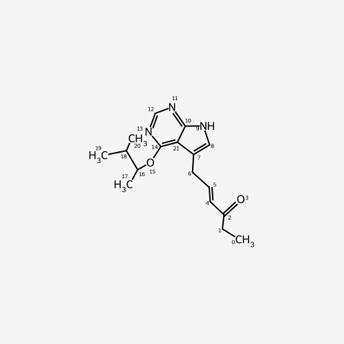 CCC(=O)/C=C/Cc1c[nH]c2ncnc(OC(C)C(C)C)c12